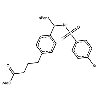 CCCCCC(NS(=O)(=O)c1ccc(Br)cc1)c1ccc(CCCC(=O)OC)cc1